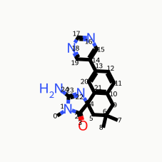 CN1C(=O)C2(CC(C)(C)Cc3ccc(-c4cncnc4)cc32)N=C1N